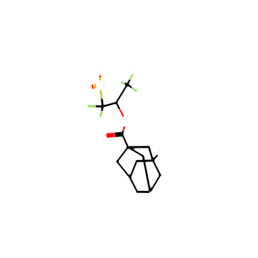 CC12CC3CC(C1)CC(C(=O)OC(C(F)(F)F)C(F)(F)S(=O)(=O)O)(C3)C2